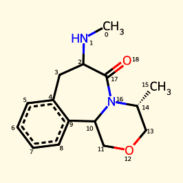 CNC1Cc2ccccc2C2COC[C@@H](C)N2C1=O